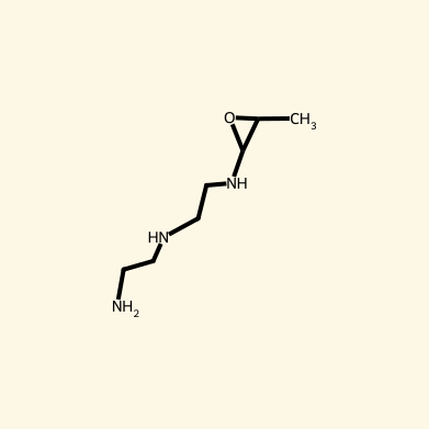 CC1OC1NCCNCCN